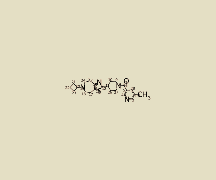 Cc1cncc(C(=O)N2CCC(c3nc4c(s3)CCN(C3CCC3)CC4)CC2)c1